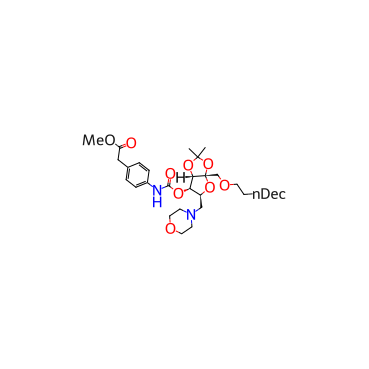 CCCCCCCCCCCCOC[C@@]12O[C@@H](CN3CCOCC3)[C@@H](OC(=O)Nc3ccc(CC(=O)OC)cc3)[C@@H]1OC(C)(C)O2